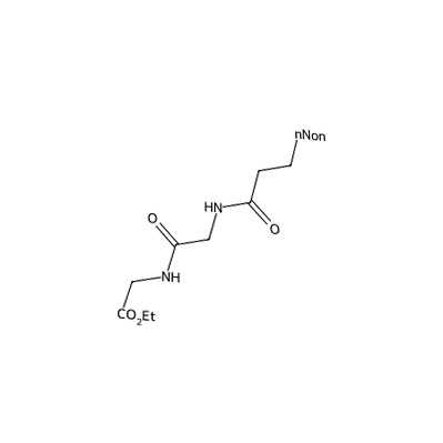 CCCCCCCCCCCC(=O)NCC(=O)NCC(=O)OCC